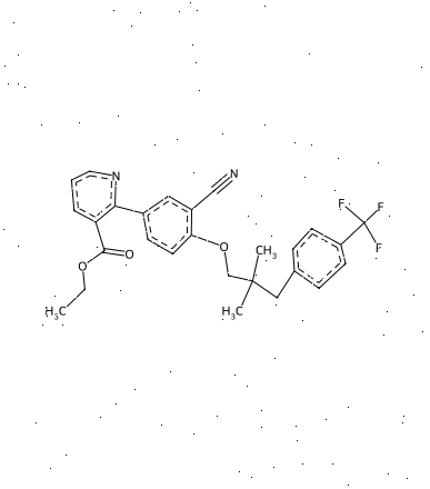 CCOC(=O)c1cccnc1-c1ccc(OCC(C)(C)Cc2ccc(C(F)(F)F)cc2)c(C#N)c1